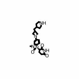 Cn1c(=O)n(C2CCC(=O)NC2=O)c2ccc(N3CC(CC4CCNCC4)C3)cc21